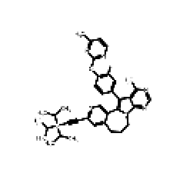 Cc1ccnc(Oc2ccc(-c3c4n(c5ncnc(C)c35)CCCc3cc(C#C[Si](C(C)C)(C(C)C)C(C)C)ncc3-4)cc2F)n1